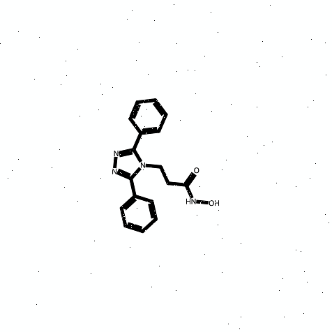 O=C(CCn1c(-c2ccccc2)nnc1-c1ccccc1)NO